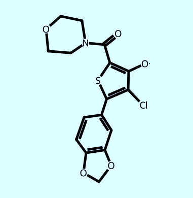 [O]c1c(C(=O)N2CCOCC2)sc(-c2ccc3c(c2)OCO3)c1Cl